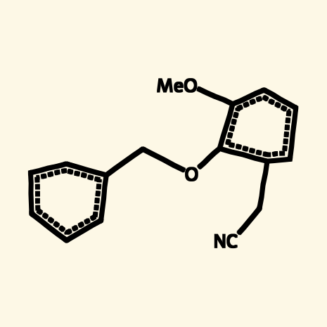 COc1cccc(CC#N)c1OCc1ccccc1